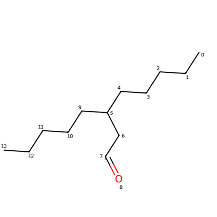 CCCCCC(C[C]=O)CCCCC